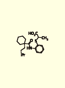 CC(C)CCC1(C(=O)Nc2ccccc2SC(C)C(=O)O)CCCCC1